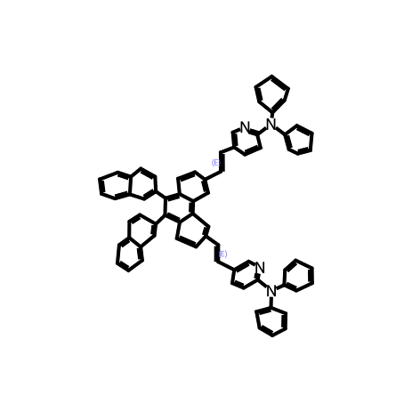 C(=C\c1ccc2c(-c3ccc4ccccc4c3)c(-c3ccc4ccccc4c3)c3ccc(/C=C/c4ccc(N(c5ccccc5)c5ccccc5)nc4)cc3c2c1)/c1ccc(N(c2ccccc2)c2ccccc2)nc1